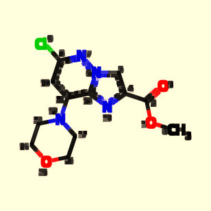 COC(=O)c1cn2nc(Cl)cc(N3CCOCC3)c2n1